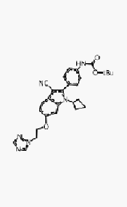 CC(C)(C)OC(=O)Nc1ccc(-c2c(C#N)c3ccc(OCCn4cncn4)cc3n2C2CCC2)cc1